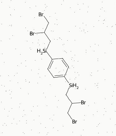 BrCC(Br)C[SiH2]c1ccc([SiH2]CC(Br)CBr)cc1